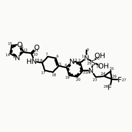 CN1c2nc(C3=CCC(NC(=O)c4ncco4)CC3)ccc2N(CC2CC2(F)F)S1(O)O